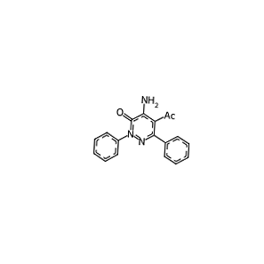 CC(=O)c1c(-c2ccccc2)nn(-c2ccccc2)c(=O)c1N